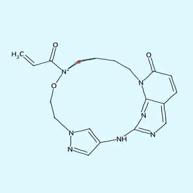 C=CC(=O)[N+]12CC(CCn3c(=O)ccc4cnc(nc43)Nc3cnn(c3)CCO1)C2